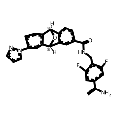 C=C(N)c1cc(F)c(CNC(=O)c2ccc3c(c2)[C@@H]2O[C@H]3c3ccc(-n4cccn4)cc32)c(F)c1